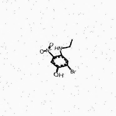 CCNc1cc(Br)c(O)cc1[N+](=O)[O-]